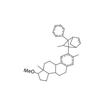 COC1CCC2C3CCc4cc(C)c(C56C7C=CC(C7)C5(c5ccccc5)C6C)cc4C3CCC12C